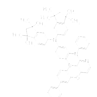 CC1(C)CC(C)(C)c2cc(N(c3ccc4c(c3)N(c3ccccc3)c3nccc5c3B4c3ccc(-c4ccccc4)cc3O5)c3ccc4c(c3)C(C)(C)CC4(C)C)ccc21